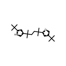 CC(C)(C)c1coc(C(C)(C)CCC(C)(C)c2c[nH]c(C(C)(C)C)c2)c1